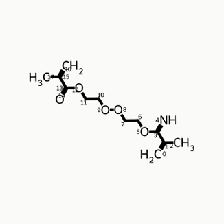 C=C(C)C(=N)OCCOOCCOC(=O)C(=C)C